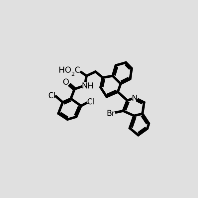 O=C(NC(Cc1ccc(-c2ncc3ccccc3c2Br)c2ccccc12)C(=O)O)c1c(Cl)cccc1Cl